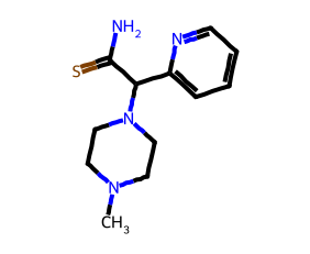 CN1CCN(C(C(N)=S)c2ccccn2)CC1